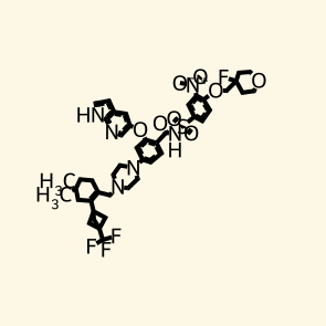 CC1(C)CCC(CN2CCN(c3ccc(C(=O)NS(=O)(=O)c4ccc(OCC5(F)CCOCC5)c([N+](=O)[O-])c4)c(Oc4cnc5[nH]ccc5c4)c3)CC2)=C(C23CC(C(F)(F)F)(C2)C3)C1